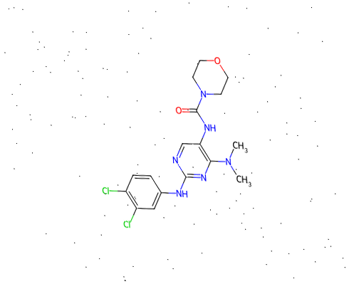 CN(C)c1nc(Nc2ccc(Cl)c(Cl)c2)ncc1NC(=O)N1CCOCC1